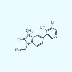 Cn1c(=O)n(CC(C)(C)C)c2ccc(-c3cncc(Cl)c3C#N)cc21